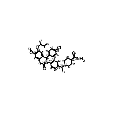 CCC(C)Oc1cc2c(cc1OC)CC(=O)N(c1ccc(C(C)N3CCC(C(N)=O)CC3)cc1)C2c1ccc(Cl)cc1